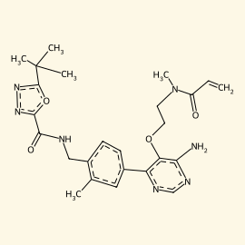 C=CC(=O)N(C)CCOc1c(N)ncnc1-c1ccc(CNC(=O)c2nnc(C(C)(C)C)o2)c(C)c1